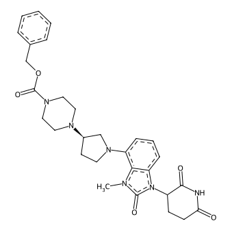 Cn1c(=O)n(C2CCC(=O)NC2=O)c2cccc(N3CC[C@@H](N4CCN(C(=O)OCc5ccccc5)CC4)C3)c21